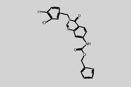 O=C(Nc1ccc2c(=O)n(Cc3ccc(Cl)c(Cl)c3)cnc2c1)OCc1ccccc1